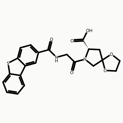 O=C(NCC(=O)N1CC2(C[C@H]1C(=O)O)OCCO2)c1ccc2sc3ccccc3c2c1